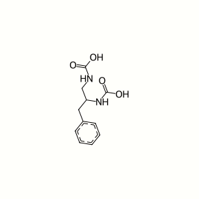 O=C(O)NCC(Cc1ccccc1)NC(=O)O